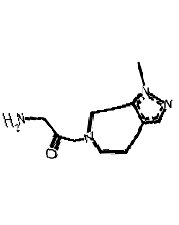 Cn1ncc2c1CN(C(=O)CN)CC2